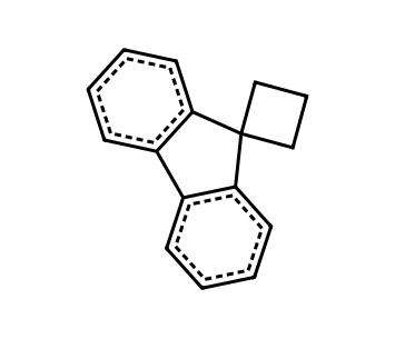 c1ccc2c(c1)-c1ccccc1C21CCC1